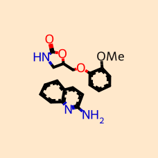 COc1ccccc1OCC1CNC(=O)O1.Nc1ccc2ccccc2n1